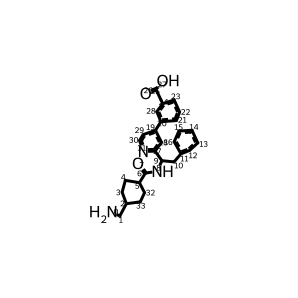 NCC1CCC(C(=O)NC(Cc2ccccc2)c2cc(-c3cccc(C(=O)O)c3)ccn2)CC1